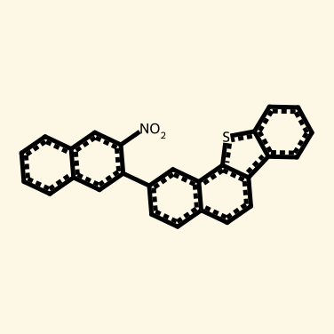 O=[N+]([O-])c1cc2ccccc2cc1-c1ccc2ccc3c4ccccc4sc3c2c1